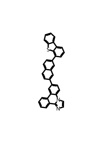 c1ccc2c(c1)sc1c(-c3ccc4ccc(-c5ccc6c(c5)c5ccccc5c5nccn65)cc4c3)cccc12